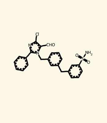 NS(=O)(=O)c1cccc(Cc2cccc(Cn3c(-c4ccccc4)nc(Cl)c3C=O)c2)c1